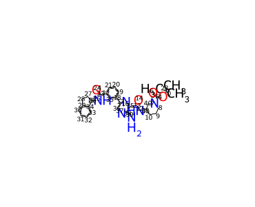 CC(C)(C)OC(=O)N1CCC[C@@H](NC(=O)c2nc(-c3cccc(C(=O)N[C@H]4CCc5ccccc54)c3)cnc2N)C1